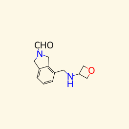 O=CN1Cc2cccc(CNC3COC3)c2C1